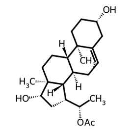 CC(=O)O[C@@H](C)[C@@H]1C[C@H](O)[C@@]2(C)CC[C@H]3[C@@H](CC=C4C[C@@H](O)CC[C@@]43C)[C@H]12